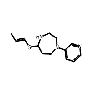 CC=CSC1CCN(c2cccnc2)CCN1